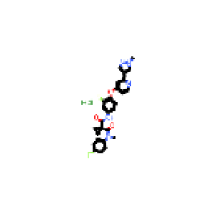 CN(C(=O)C1(C(=O)Nc2ccc(Oc3ccnc(-c4cnn(C)c4)c3)c(F)c2)CC1)c1ccc(F)cc1.Cl